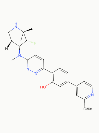 COc1cc(-c2ccc(-c3ccc(N(C)[C@H]4[C@@H]5CN[C@@](C)(C5)[C@@H]4F)nn3)c(O)c2)ccn1